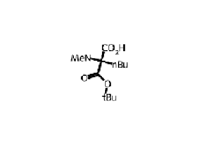 CCCCC(NC)(C(=O)O)C(=O)OC(C)(C)C